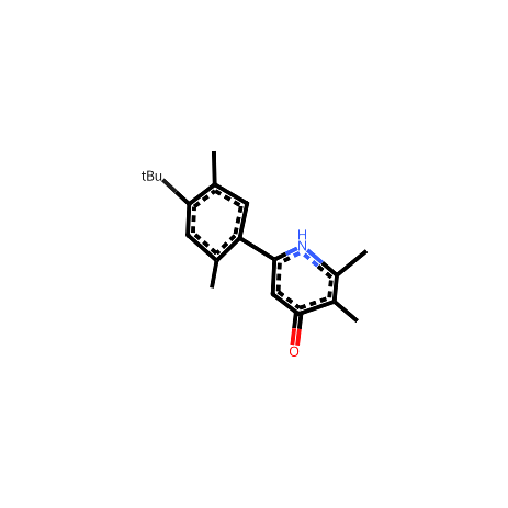 Cc1cc(C(C)(C)C)c(C)cc1-c1cc(=O)c(C)c(C)[nH]1